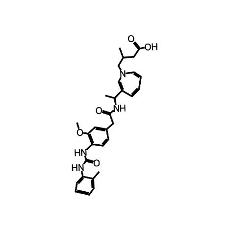 COc1cc(CC(=O)NC(C)C2=CN(CC(C)CC(=O)O)C=CC=C2)ccc1NC(=O)Nc1ccccc1C